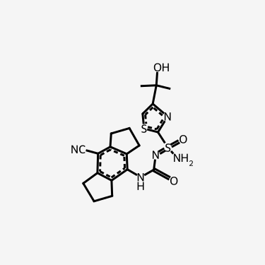 CC(C)(O)c1csc(S(N)(=O)=NC(=O)Nc2c3c(c(C#N)c4c2CCC4)CCC3)n1